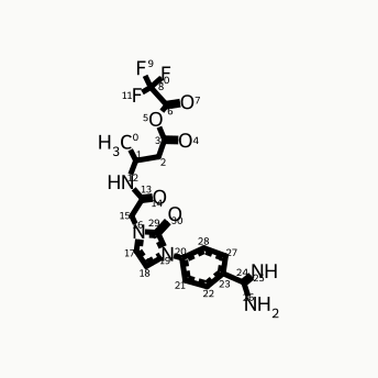 CC(CC(=O)OC(=O)C(F)(F)F)NC(=O)Cn1ccn(-c2ccc(C(=N)N)cc2)c1=O